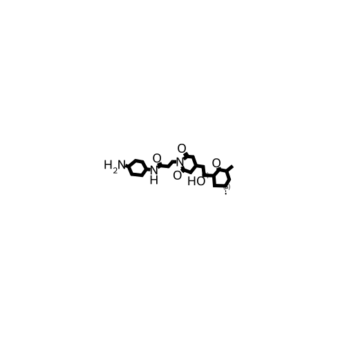 CC1C[C@H](C)CC([C@H](O)CC2CC(=O)N(CCC(=O)NC3CCC(N)CC3)C(=O)C2)C1=O